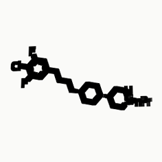 CCC[SiH]1CCC([C@H]2CC[C@H](CCCCc3cc(F)c(Cl)c(F)c3)CC2)CC1